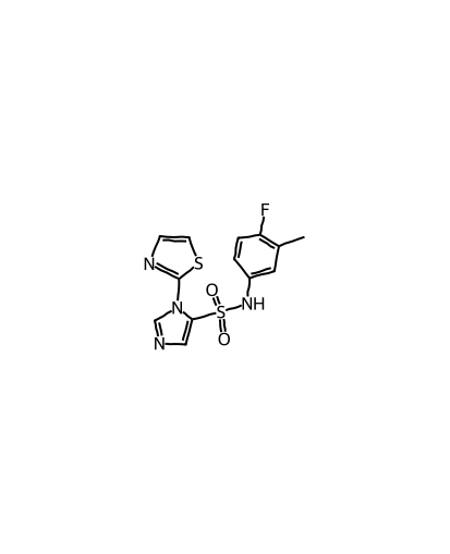 Cc1cc(NS(=O)(=O)c2cncn2-c2nccs2)ccc1F